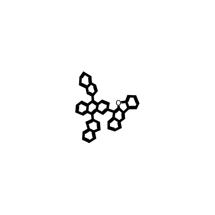 c1ccc2cc(-c3c4ccccc4c(-c4ccc5ccccc5c4)c4cc(-c5c6ccccc6cc6c5oc5ccccc56)ccc34)ccc2c1